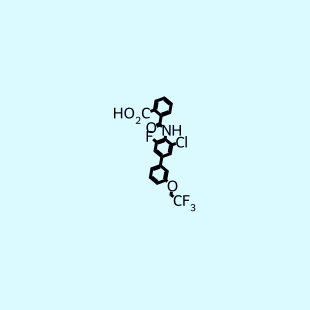 O=C(O)c1ccccc1C(=O)Nc1c(F)cc(-c2cccc(OCC(F)(F)F)c2)cc1Cl